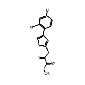 COC(=O)C(=O)Sc1nc(-c2ccc(Cl)cc2Cl)cs1